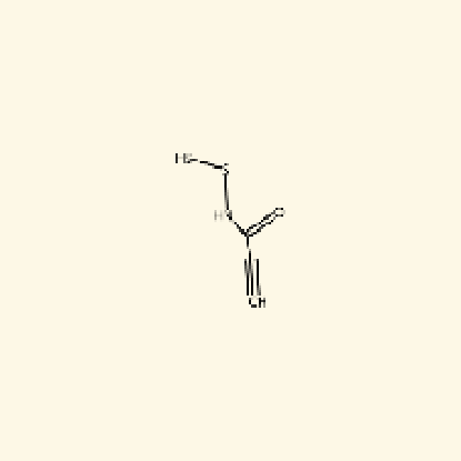 C#CC(=O)NSS